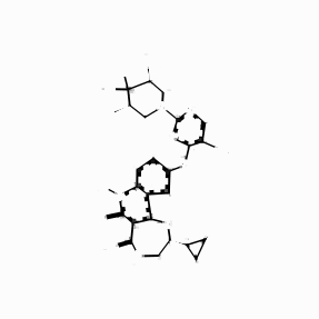 C[C@@H]1CN(c2ncc(Cl)c(Nc3ccc4c(c3)c3c(c(=O)n4C)C(=O)OC[C@H](C4CC4)N3)n2)C[C@H](C)C1(F)F